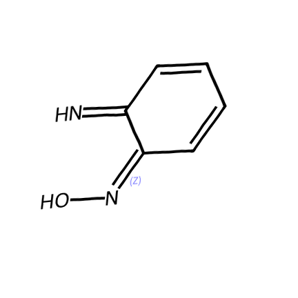 N=C1C=CC=C/C1=N/O